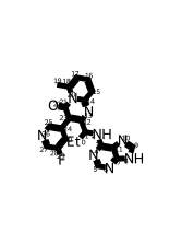 CCC(Nc1ncnc2[nH]cnc12)c1nc2cccc(C)n2c(=O)c1-c1cncc(F)c1